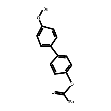 CCC(C)Oc1ccc(-c2ccc(OC(=O)C(C)CC)cc2)cc1